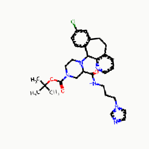 CC(C)(C)OC(=O)N1CCN(C2c3ccc(Cl)cc3CCc3cccnc32)C(C(=O)NCCCn2ccnc2)C1